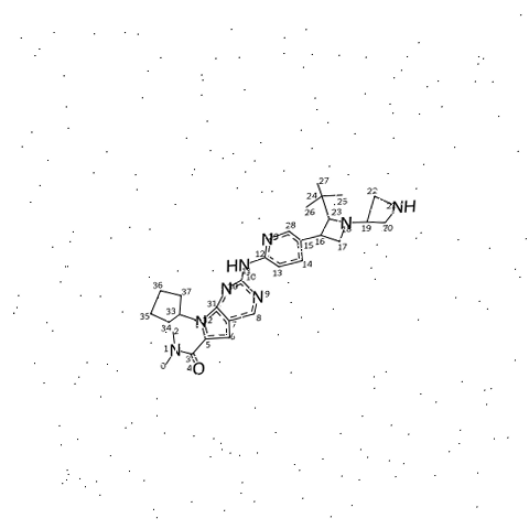 CN(C)C(=O)c1cc2cnc(Nc3ccc(C4CN(C5CNC5)C4C(C)(C)C)cn3)nc2n1C1CCCC1